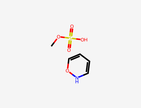 C1=CNOC=C1.COS(=O)(=O)O